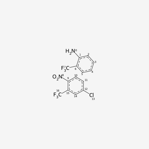 Nc1ccccc1C(F)(F)F.O=[N+]([O-])c1ccc(Cl)cc1C(F)(F)F